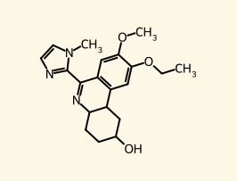 CCOc1cc2c(cc1OC)C(c1nccn1C)=NC1CCC(O)CC21